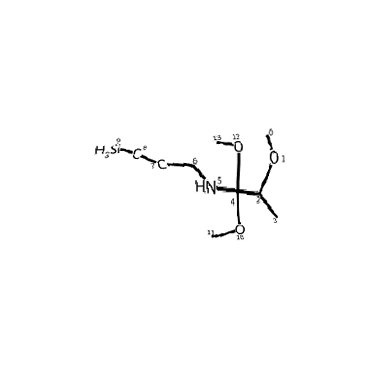 COC(C)C(NCCC[SiH3])(OC)OC